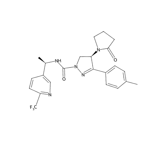 Cc1ccc(C2=NN(C(=O)N[C@H](C)c3ccc(C(F)(F)F)nc3)C[C@H]2N2CCCC2=O)cc1